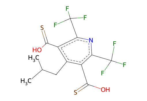 CC(C)Cc1c(C(O)=S)c(C(F)(F)F)nc(C(F)(F)F)c1C(O)=S